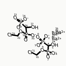 O=P([O-])([O-])C(O)P(=O)([O-])OCCl.O=P([O-])([O-])C(O)P(=O)([O-])OCCl.[Ba+2].[Ba+2].[Ba+2]